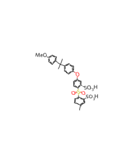 COc1ccc(C(C)(C)c2ccc(Oc3ccc(S(=O)(=O)c4ccc(C)cc4S(=O)(=O)O)c(S(=O)(=O)O)c3)cc2)cc1